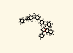 c1ccc(-c2ccc(N(c3ccc(-c4ccc5oc6cc7nc(-c8ccccc8)oc7cc6c5c4)cc3)c3ccccc3-c3cccc4ccccc34)cc2)cc1